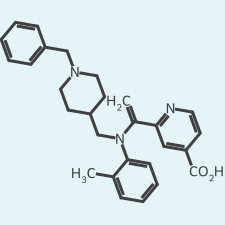 C=C(c1cc(C(=O)O)ccn1)N(CC1CCN(Cc2ccccc2)CC1)c1ccccc1C